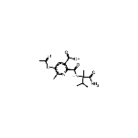 CC(=O)Oc1cc(C(=O)O)c(C(=O)NC(C)(C(N)=O)C(C)C)nc1C